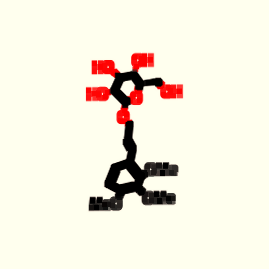 COc1ccc(/C=C/CO[C@@H]2O[C@H](CO)[C@@H](O)[C@H](O)[C@H]2O)c(OC)c1OC